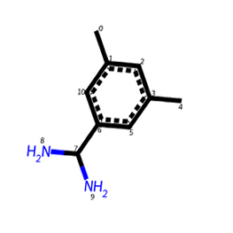 Cc1cc(C)cc(C(N)N)c1